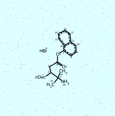 Br.CCCCCCCCCCC(CC(=O)Oc1cccc2ccccc12)C(C)(C)N